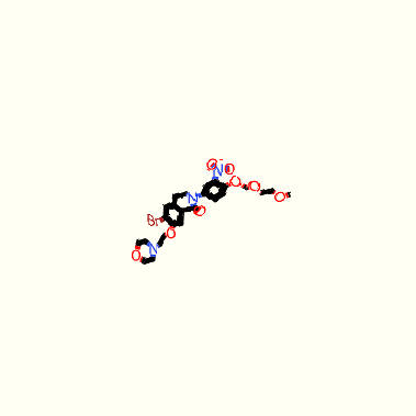 COCCOCOc1ccc(N2CCc3cc(Br)c(OCCN4CCOCC4)cc3C2=O)cc1[N+](=O)[O-]